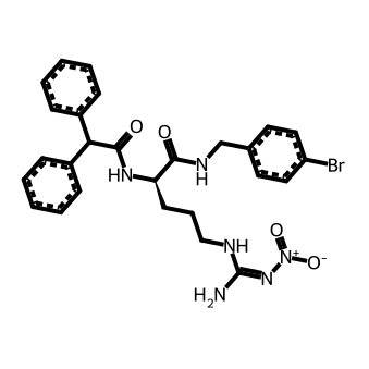 N/C(=N/[N+](=O)[O-])NCCC[C@@H](NC(=O)C(c1ccccc1)c1ccccc1)C(=O)NCc1ccc(Br)cc1